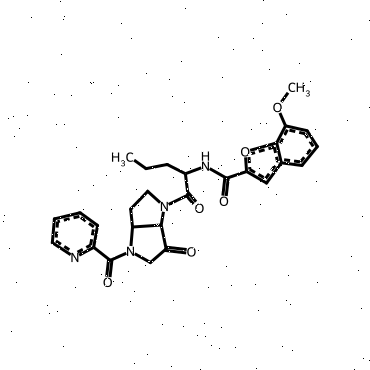 CCCC(NC(=O)c1cc2cccc(OC)c2o1)C(=O)N1CCC2C1C(=O)CN2C(=O)c1ccccn1